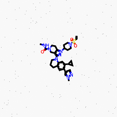 C=CS(=O)(=O)N1CCC(n2nc(N3CCCc4cc(-c5cnn(C)c5)c(C5CC5)cc43)c3c2CCN(C(=O)NC)C3)CC1